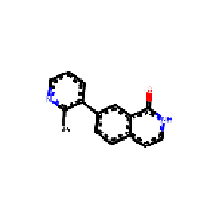 CC(C)c1ncccc1-c1ccc2cc[nH]c(=O)c2c1